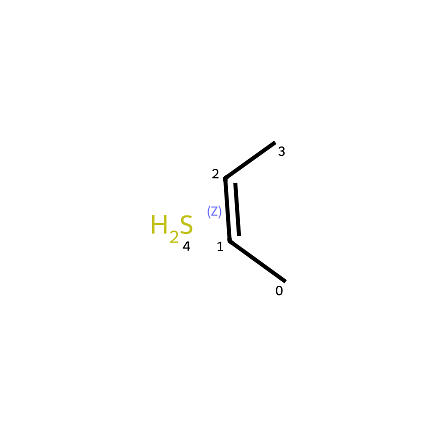 C/C=C\C.S